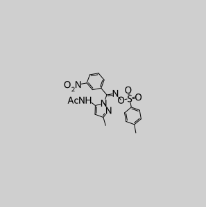 CC(=O)Nc1cc(C)nn1C(=NOS(=O)(=O)c1ccc(C)cc1)c1cccc([N+](=O)[O-])c1